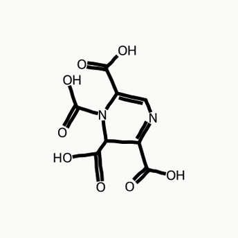 O=C(O)C1=CN=C(C(=O)O)C(C(=O)O)N1C(=O)O